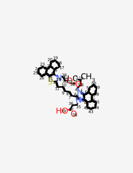 CC(C)CCn1c(/C=C/C=C/C=C2/Sc3c(c4ccccc4c4ccccc34)N2CCOC=O)[n+](CCC(=O)O)c2c3ccccc3c3ccccc3c21